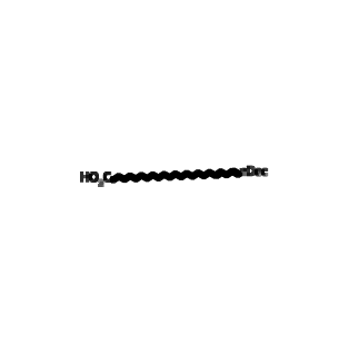 CCCCCCCCCCC=CCC=CCCCCCCCCCCCCCCCCCCC(=O)O